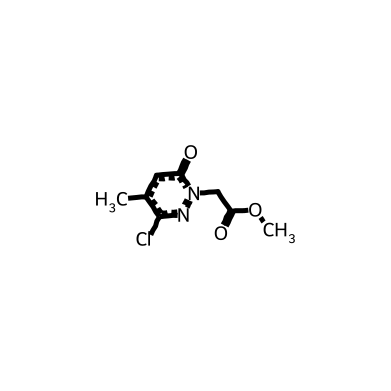 COC(=O)Cn1nc(Cl)c(C)cc1=O